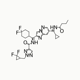 CCCC(=O)N[C@@H](c1cnn2cc([C@@H](NC(=O)c3cnn(CC4CC4(F)F)n3)C3CCC(F)(F)CC3)nc2c1)C1CC1